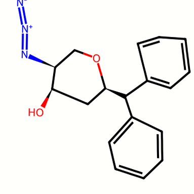 [N-]=[N+]=N[C@H]1CO[C@@H](C(c2ccccc2)c2ccccc2)C[C@H]1O